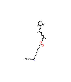 CCCCCC/C=C\CCCCCCCC(=O)OCC=C(C)C=CC=C(C)C=CC1=C(C)CCCC1(C)C